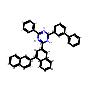 c1ccc(-c2cccc(-c3nc(-c4ccccc4)nc(-c4cc(-c5ccc6ccccc6c5)c5ccccc5c4)n3)c2)cc1